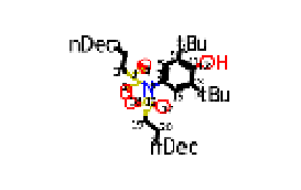 CCCCCCCCCCCCS(=O)(=O)N(c1cc(C(C)(C)C)c(O)c(C(C)(C)C)c1)S(=O)(=O)CCCCCCCCCCCC